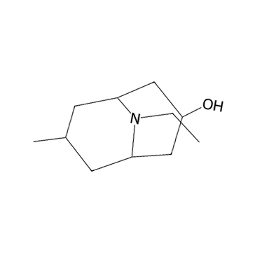 CCN1C2CC(C)CC1CC(O)C2